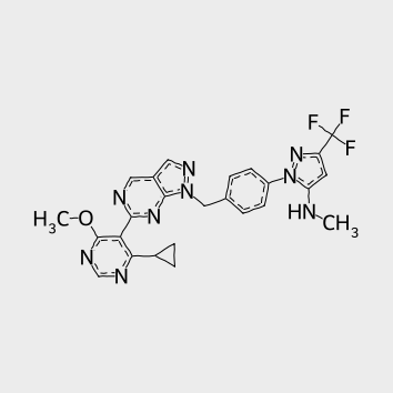 CNc1cc(C(F)(F)F)nn1-c1ccc(Cn2ncc3cnc(-c4c(OC)ncnc4C4CC4)nc32)cc1